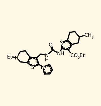 CCOC(=O)c1c(NC(=O)NCc2c(-n3cccc3)sc3c2CCN(CC)C3)sc2c1CC(C)CC2